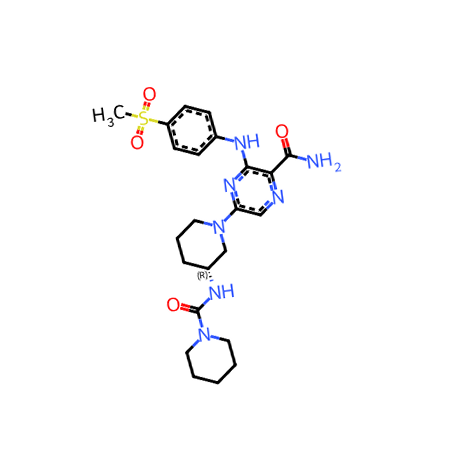 CS(=O)(=O)c1ccc(Nc2nc(N3CCC[C@@H](NC(=O)N4CCCCC4)C3)cnc2C(N)=O)cc1